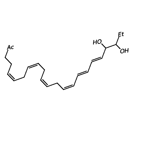 CCC(O)C(O)/C=C/C=C/C=C\C/C=C\C/C=C\C/C=C\CCC(C)=O